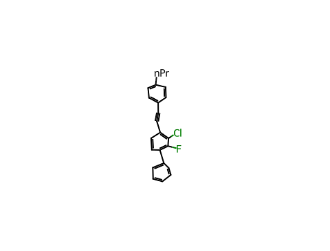 CCCc1ccc(C#Cc2ccc(-c3ccccc3)c(F)c2Cl)cc1